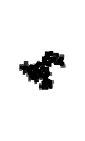 CCC1CC(N(Cc2cc(C(F)(F)F)cc(C(F)(F)F)c2)c2ncc(-c3cn[nH]c3)cn2)CN1C(=O)OC(C)C